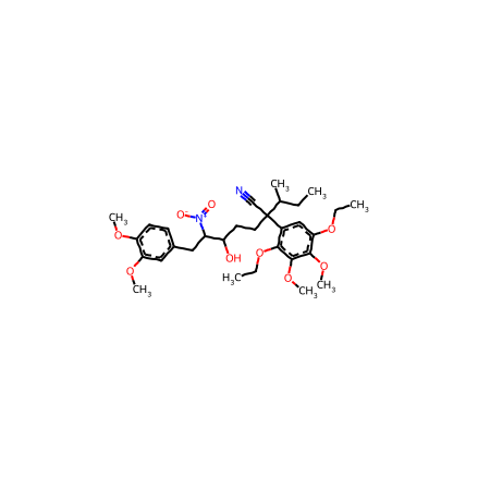 CCOc1cc(C(C#N)(CCC(O)C(Cc2ccc(OC)c(OC)c2)[N+](=O)[O-])C(C)CC)c(OCC)c(OC)c1OC